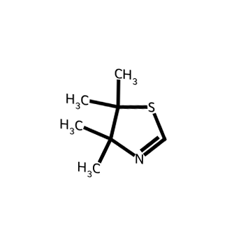 CC1(C)N=CSC1(C)C